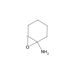 NC12CCCC[C]1O2